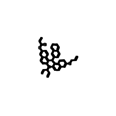 C=CCOc1ccc2c(C(c3ccc4ccccc4c3)c3c(OCC=C)ccc4cc(OC(=O)C=C)ccc34)c(OCC=C)ccc2c1